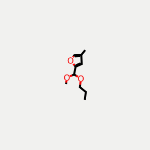 CCCOC(OC)c1cc(C)co1